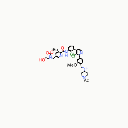 COc1cc(-c2nccc(-c3cccc(NC(=O)c4ccc(CN(CCO)C(=O)OC(C)(C)C)cn4)c3Cl)c2Cl)ccc1CNC1CCN(C(C)=O)CC1